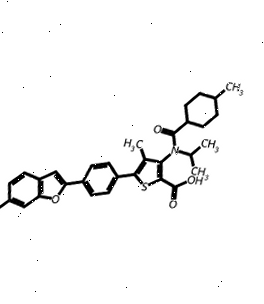 Cc1c(-c2ccc(-c3cc4ccc(N)cc4o3)cc2)sc(C(=O)O)c1N(C(=O)C1CCC(C)CC1)C(C)C